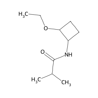 CCOC1CCC1NC(=O)C(C)C